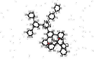 c1ccc(-c2ccc(-c3nc(-c4cc(-c5ccccc5)cc(-c5ccccc5)c4)nc(-c4cc(-c5ccccc5)c(-n5c6ccccc6c6c7c(ccc65)oc5ccccc57)c(-c5ccccc5)c4)n3)cc2)cc1